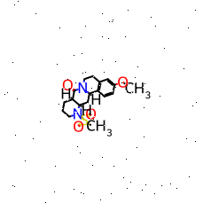 COc1ccc2c(c1)CCN1C(=O)[C@H]3CCCN(S(C)(=O)=O)[C@H]3C[C@@H]21